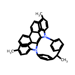 Cc1ccc(N2c3ccc(cc3)C(C)c3ccc(cc3)N(c3ccc(C)cc3)c3c2c2ccccc2c2ccccc32)cc1